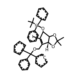 CC1(C)OC2[C@H](O1)C(COC(c1ccccc1)(c1ccccc1)c1ccccc1)=C(I)[C@@H]2O[Si](c1ccccc1)(c1ccccc1)C(C)(C)C